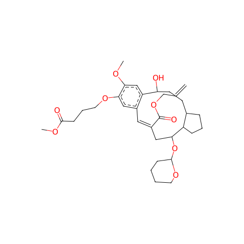 C=CCOC(=O)/C1=C\c2cc(OCCCC(=O)OC)c(OC)cc2C(O)CCC2CCCC2C(OC2CCCCO2)C1